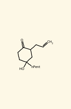 C=CCC1CC(O)(CCCCC)CCC1=O